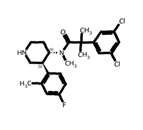 Cc1cc(F)ccc1[C@H]1CNCC[C@@H]1N(C)C(=O)C(C)(C)c1cc(Cl)cc(Cl)c1